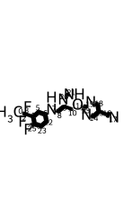 CC(F)(F)c1cc(N/C=C(/COc2ncc(C#N)cn2)N=N)ccc1F